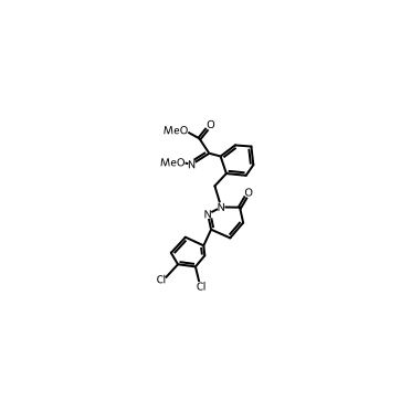 CON=C(C(=O)OC)c1ccccc1Cn1nc(-c2ccc(Cl)c(Cl)c2)ccc1=O